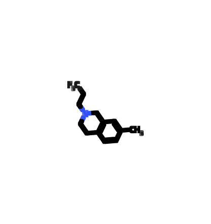 Cc1ccc2c(c1)CN(CCC(F)(F)F)CC2